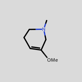 COC1=CCCN(C)C1